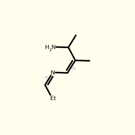 CC/C=N\C=C(\C)C(C)N